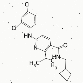 CC(C)c1nc(Nc2ccc(Cl)cc2Cl)ccc1C(=O)NCC1CCC1